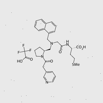 CSCC[C@H](NC(=O)CN(Cc1cccc2ccccc12)C[C@@H]1CCCN1C(=O)Cc1cccnc1)C(=O)O.O=C(O)C(F)(F)F